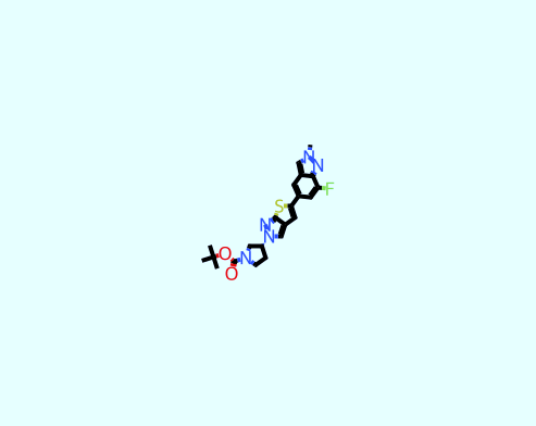 Cn1cc2cc(-c3cc4cn([C@@H]5CCN(C(=O)OC(C)(C)C)C5)nc4s3)cc(F)c2n1